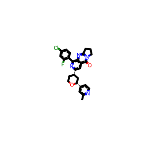 Cc1cc([C@H]2C[C@@H](c3cc4c(=O)n5c(nc4c(-c4ccc(Cl)cc4F)n3)CCC5)CCO2)ccn1